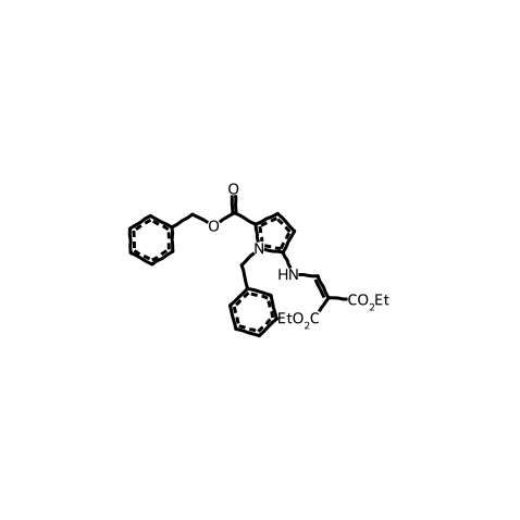 CCOC(=O)C(=CNc1ccc(C(=O)OCc2ccccc2)n1Cc1ccccc1)C(=O)OCC